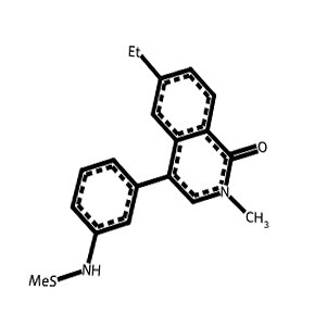 CCc1ccc2c(=O)n(C)cc(-c3cccc(NSC)c3)c2c1